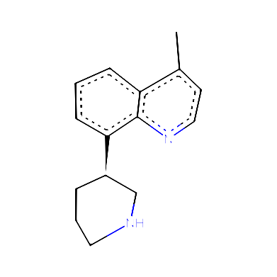 Cc1ccnc2c([C@@H]3CCCNC3)cccc12